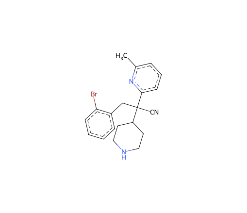 Cc1cccc(C(C#N)(Cc2ccccc2Br)C2CCNCC2)n1